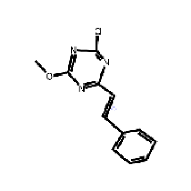 COc1nc(Cl)nc(/C=C/c2ccccc2)n1